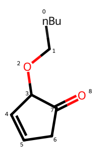 CCCCCOC1C=CCC1=O